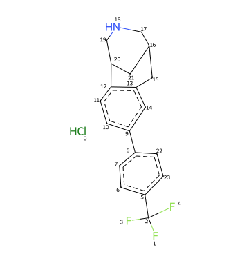 Cl.FC(F)(F)c1ccc(-c2ccc3c(c2)CC2CNCC3C2)cc1